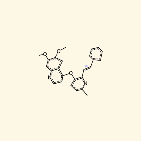 COc1cc2nccc(Oc3ccc(C)nc3/C=C/c3ccccc3)c2cc1OC